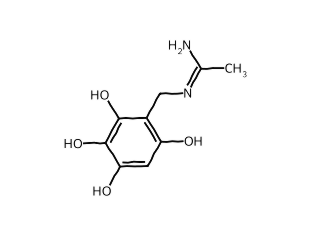 CC(N)=NCc1c(O)cc(O)c(O)c1O